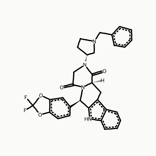 O=C1[C@H]2Cc3c([nH]c4ccccc34)[C@@H](c3ccc4c(c3)OC(F)(F)O4)N2C(=O)CN1[C@@H]1CCN(Cc2ccccc2)C1